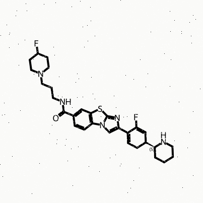 O=C(NCCCN1CCC(F)CC1)c1ccc2c(c1)sc1nc(C3=CCC([C@@H]4CCCCN4)C=C3F)cn12